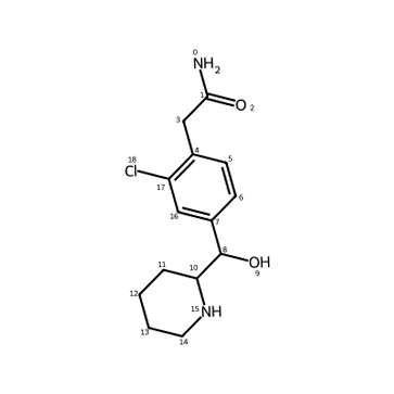 NC(=O)Cc1ccc(C(O)C2CCCCN2)cc1Cl